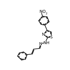 O=[N+]([O-])c1ccc(-c2csc(NN=CC=Cc3ccccc3)n2)cc1